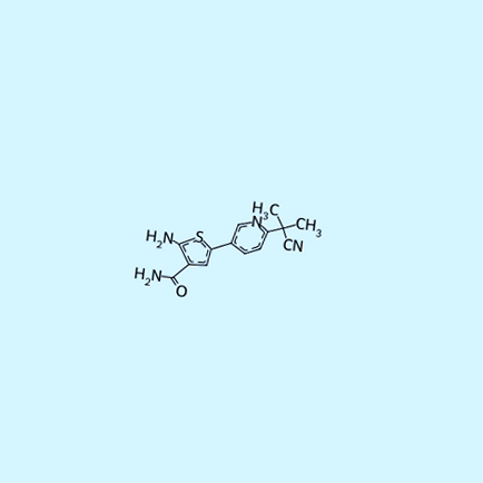 CC(C)(C#N)c1ccc(-c2cc(C(N)=O)c(N)s2)cn1